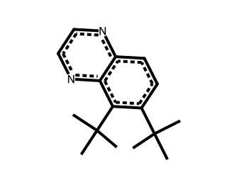 CC(C)(C)c1ccc2nccnc2c1C(C)(C)C